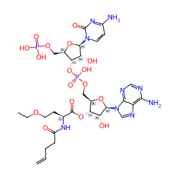 C=CCCC(=O)N[C@@H](CCOCC)C(=O)O[C@H]1[C@@H](O)[C@H](n2cnc3c(N)ncnc32)O[C@@H]1COP(=O)(O)O[C@H]1[C@@H](O)[C@H](n2ccc(N)nc2=O)O[C@@H]1COP(=O)(O)O